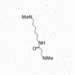 CNCCCCCCNC(=O)CCNC